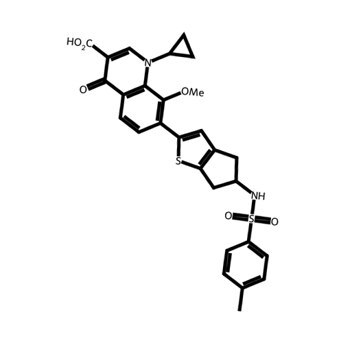 COc1c(-c2cc3c(s2)CC(NS(=O)(=O)c2ccc(C)cc2)C3)ccc2c(=O)c(C(=O)O)cn(C3CC3)c12